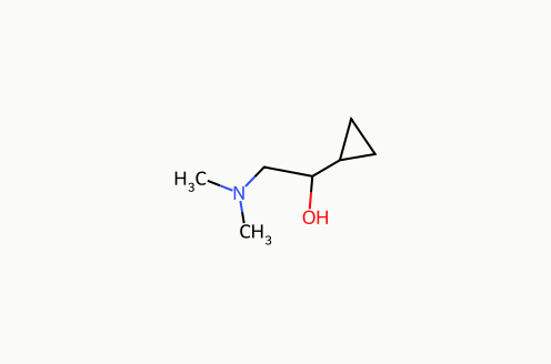 CN(C)CC(O)C1CC1